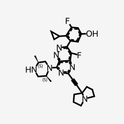 C[C@H]1CN(c2nc(C#CC34CCCN3CCC4)nc3c(F)c(-c4cc(O)cc(F)c4C4CC4)nnc23)[C@@H](C)CN1